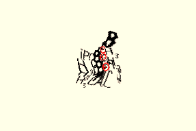 CC(=O)C1=C(C)CC2(C)CC3(C)Cc4c(C(C)C)cc(CC(=O)Cc5cccc6ccccc56)c(C)c4C(=O)C3=C(C)C2(C)C1=O